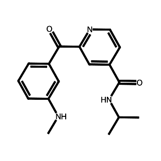 CNc1cccc(C(=O)c2cc(C(=O)NC(C)C)ccn2)c1